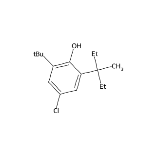 CCC(C)(CC)c1cc(Cl)cc(C(C)(C)C)c1O